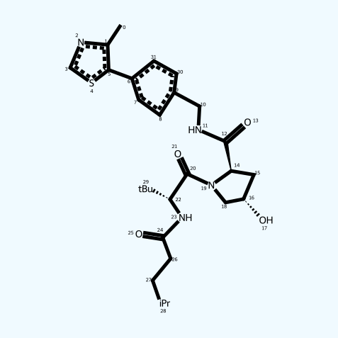 Cc1ncsc1-c1ccc(CNC(=O)[C@H]2C[C@H](O)CN2C(=O)[C@H](NC(=O)CCC(C)C)C(C)(C)C)cc1